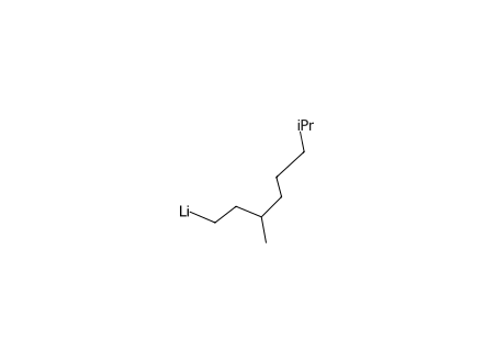 [Li][CH2]CC(C)CCCC(C)C